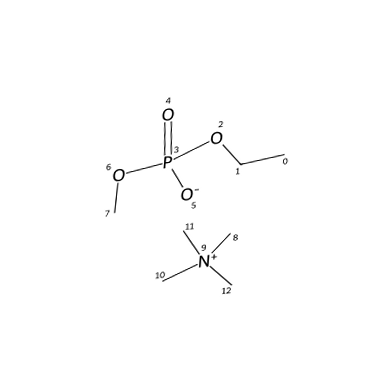 CCOP(=O)([O-])OC.C[N+](C)(C)C